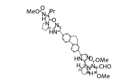 COC(=O)N[C@H](C(=O)N1CCC[C@H]1c1ncc(-c2ccc3c(c2)CCc2cc(-c4cnc([C@@H]5[C@H]6CC[C@H](C6)N5N(C(=O)OC)[C@H](C=O)[C@@H](C)OC)[nH]4)ccc2-3)[nH]1)C(C)C